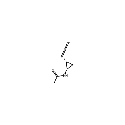 CC(=O)N[C@@H]1C[C@H]1N=[N+]=[N-]